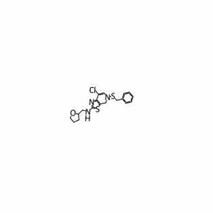 ClC1=CN(SCc2ccccc2)Cc2sc(NCC3CCCO3)nc21